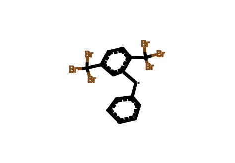 BrC(Br)(Br)c1ccc(C(Br)(Br)Br)c([CH]c2ccccc2)c1